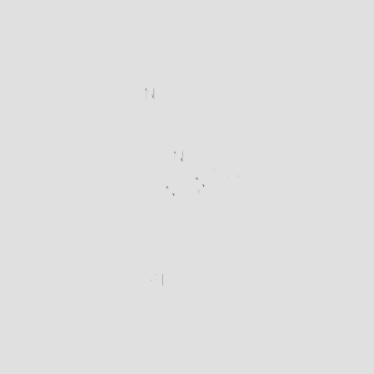 Cc1cc(=O)n2cc(-c3ccc(Cl)cc3)nc2n1Cc1ccncc1